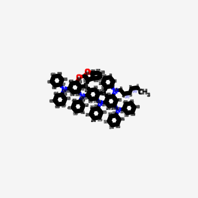 C/C=C\C=C/CN1c2ccccc2B2c3cc4c(cc3N(c3ccccc3)c3cc(N(c5ccccc5)c5ccccc5)cc1c32)N(c1ccccc1)c1cc(N(c2ccccc2)c2ccccc2)cc2c1B4c1c(oc3ccccc13)O2